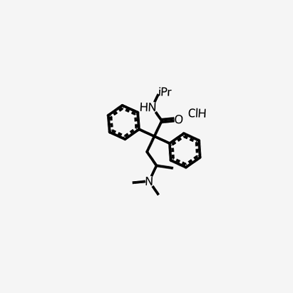 CC(C)NC(=O)C(CC(C)N(C)C)(c1ccccc1)c1ccccc1.Cl